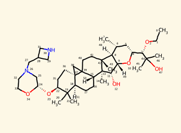 CCO[C@@H]([C@H]1C[C@@H](C)[C@H]2[C@H](O1)[C@H](O)[C@@]1(C)[C@@H]3CC[C@H]4C(C)(C)[C@@H](O[C@H]5CN(CC6CNC6)CCO5)CC[C@@]45CC35CC[C@]21C)C(C)(C)O